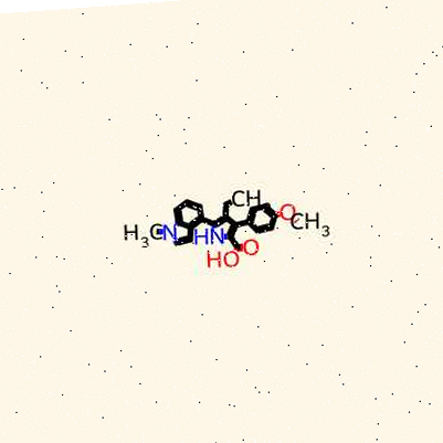 CCc1c(-c2cccc3c2ccn3C)[nH]c(C(=O)O)c1-c1ccc(OC)cc1